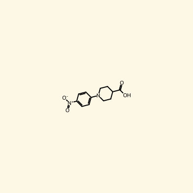 O=C(O)C1CCN(c2ccc([N+](=O)[O-])cc2)CC1